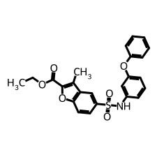 CCOC(=O)c1oc2ccc(S(=O)(=O)Nc3cccc(Oc4ccccc4)c3)cc2c1C